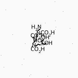 NCCN(CCN(CCN(CCC[C@@H](CO)[C@@H](O)CO)CC(=O)O)CC(=O)O)CC(=O)O